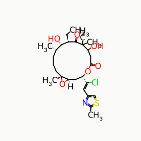 CC[C@H]1C(=O)C(C)(C)[C@@H](O)CC(=O)O[C@H](C(Cl)=Cc2csc(C)n2)C[C@H]2O[C@]2(C)CCC[C@H](C)[C@@H]1O